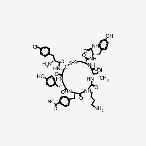 C[C@@H](O)[C@@H]1NC(=O)[C@H](CCCCN)NC(=O)[C@@H](Cc2ccc(C(=O)C#N)cc2)NC(=O)[C@H](Cc2ccc(O)cc2)NC(=O)[C@H](NC(=O)[C@@H](N)Cc2ccc(Cl)cc2)CSSC[C@@H](C(=O)N[C@H](Cc2ccc(O)cc2)C(N)=O)NC1=O